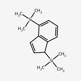 C[Si](C)(C)c1cccc2c1C=CC2[Si](C)(C)C